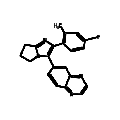 Cc1cc(F)ccc1-c1nc2n(c1-c1ccc3nccnc3c1)CCC2